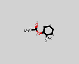 COC(=O)OC1CCCCC1OC(C)=O